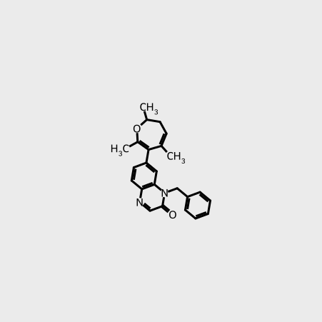 CC1=CCC(C)OC(C)=C1c1ccc2ncc(=O)n(Cc3ccccc3)c2c1